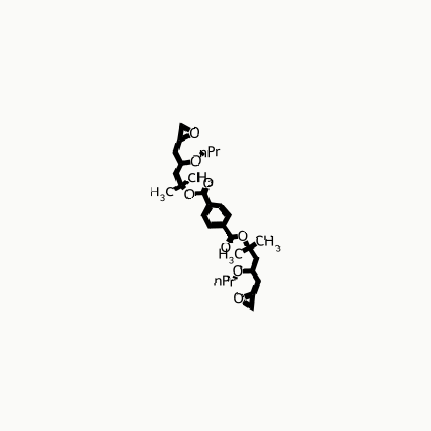 CCCOC(CC1CO1)CC(C)(C)OC(=O)c1ccc(C(=O)OC(C)(C)CC(CC2CO2)OCCC)cc1